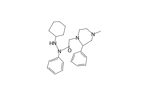 CN1CCN(CC(=O)N(NC2CCCCC2)c2ccccc2)C(c2ccccc2)C1